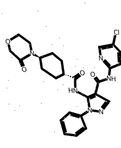 O=C(Nc1ccc(Cl)cn1)c1cnn(-c2ccccc2)c1NC(=O)[C@H]1CC[C@H](N2CCOCC2=O)CC1